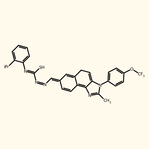 Cc1nc2c(n1-c1ccc(OC(F)(F)F)cc1)=CCc1c/c(=C/N=N\C(S)=N\c3ccccc3C(C)C)ccc1=2